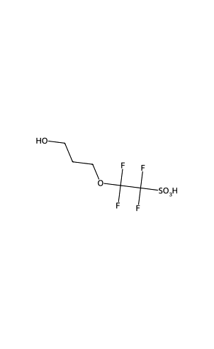 O=S(=O)(O)C(F)(F)C(F)(F)OCCCO